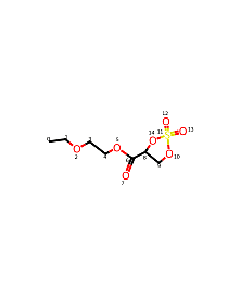 CCOCCOC(=O)C1COS(=O)(=O)O1